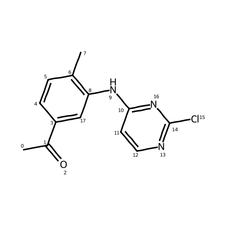 CC(=O)c1ccc(C)c(Nc2ccnc(Cl)n2)c1